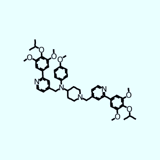 COc1ccc(N(Cc2ccnc(-c3cc(OC)c(OC(C)C)c(OC)c3)c2)C2CCN(Cc3ccnc(-c4cc(OC)c(OC(C)C)c(OC)c4)c3)CC2)cc1